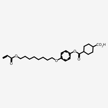 C=CC(=O)OCCCCCCCCOc1ccc(OC(=O)C2CCC(C(=O)O)CC2)cc1